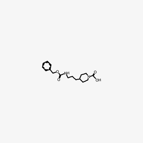 O=C(NCCCC1CCN(C(=O)O)CC1)OCc1ccccc1